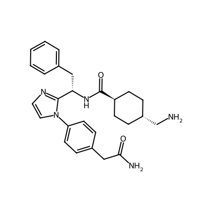 NC[C@H]1CC[C@H](C(=O)N[C@@H](Cc2ccccc2)c2nccn2-c2ccc(CC(N)=O)cc2)CC1